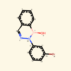 OB1c2ccccc2C=NN1c1cccc(Br)c1